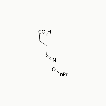 CCCON=CCCC(=O)O